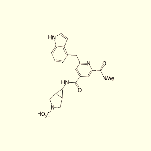 CNC(=O)c1cc(C(=O)NC2C3CN(C(=O)O)CC32)cc(Cc2cccc3[nH]ccc23)n1